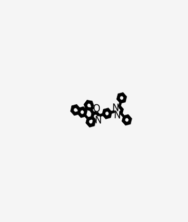 c1ccc(-c2cc(-c3ccccc3)nc(-c3ccc(-c4nc5cccc(-c6ccc7ccccc7c6)c5c5c4oc4ccccc45)cc3)n2)cc1